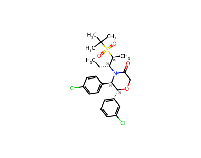 CC[C@H]([C@H](C)S(=O)(=O)C(C)(C)C)N1C(=O)CO[C@H](c2cccc(Cl)c2)[C@H]1c1ccc(Cl)cc1